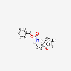 CCOC(=O)C1(C)CN(C(=O)OCc2ccccc2)CCCC1=O